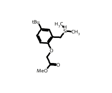 COC(=O)COc1ccc(C(C)(C)C)cc1C[SiH](C)C